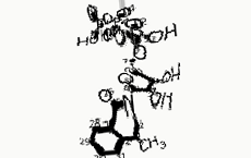 Cc1cn([C@@H]2O[C@H](COP(=O)(O)OP(=O)(O)OP(=O)(O)O)[C@@H](O)[C@H]2O)c(=O)c2ccccc12